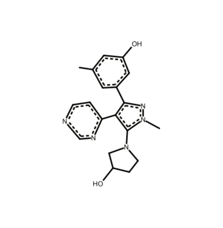 Cc1cc(O)cc(-c2nn(C)c(N3CCC(O)C3)c2-c2ccncn2)c1